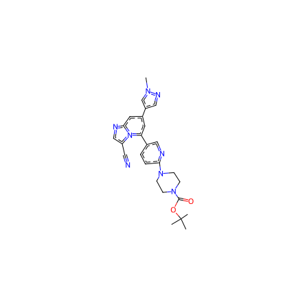 Cn1cc(-c2cc(-c3ccc(N4CCN(C(=O)OC(C)(C)C)CC4)nc3)n3c(C#N)cnc3c2)cn1